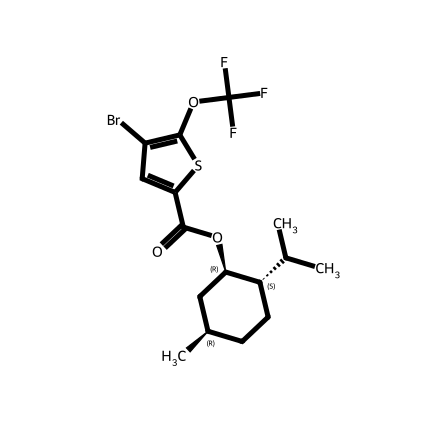 CC(C)[C@@H]1CC[C@@H](C)C[C@H]1OC(=O)c1cc(Br)c(OC(F)(F)F)s1